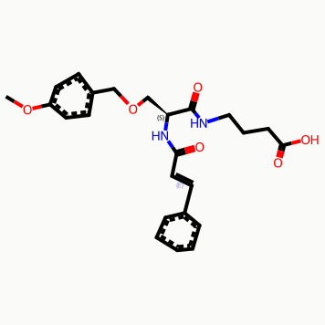 COc1ccc(COC[C@H](NC(=O)/C=C/c2ccccc2)C(=O)NCCCC(=O)O)cc1